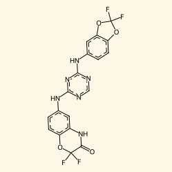 O=C1Nc2cc(Nc3ncnc(Nc4ccc5c(c4)OC(F)(F)O5)n3)ccc2OC1(F)F